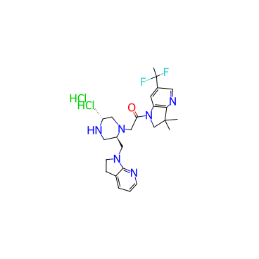 C[C@@H]1CN(CC(=O)N2CC(C)(C)c3ncc(C(C)(F)F)cc32)[C@@H](CN2CCc3cccnc32)CN1.Cl.Cl